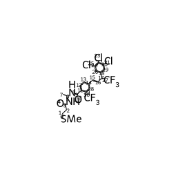 CSCCC(=O)N[C@@H](C)NC(=O)c1ccc(C=CC(c2cc(Cl)c(Cl)c(Cl)c2)C(F)(F)F)cc1C(F)(F)F